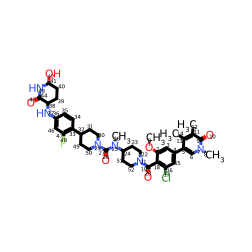 COc1cc(-c2cn(C)c(=O)c(C)c2C)cc(Cl)c1C(=O)N1CCC(N(C)C(=O)N2CCC(c3ccc(NC4CCC(O)NC4=O)cc3F)CC2)CC1